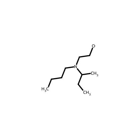 CCCCN(CC[O])C(C)CC